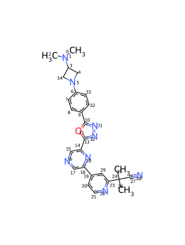 CN(C)C1CN(c2ccc(-c3nnc(-c4cncc(-c5ccnc(C(C)(C)C#N)c5)n4)o3)cc2)C1